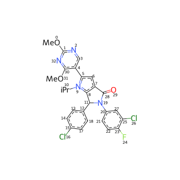 COc1ncc(-c2cc3c(n2C(C)C)C(c2ccc(Cl)cc2)N(c2ccc(F)c(Cl)c2)C3=O)c(OC)n1